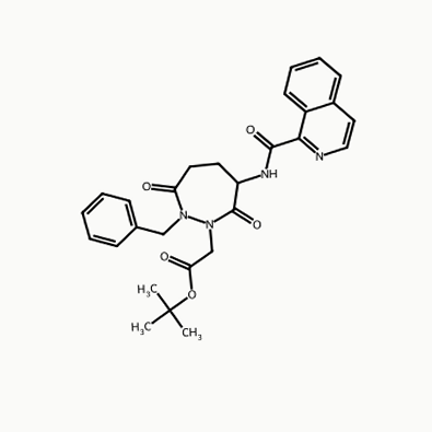 CC(C)(C)OC(=O)CN1C(=O)C(NC(=O)c2nccc3ccccc23)CCC(=O)N1Cc1ccccc1